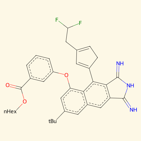 CCCCCCOC(=O)c1cccc(Oc2cc(C(C)(C)C)cc3cc4c(c(C5=CC(CC(F)F)=CC5)c23)C(=N)NC4=N)c1